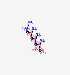 COc1ccc(NC(=O)[C@@H](CCCNC(=N)N)NC(=O)c2cc(NC(=O)[C@@H](CCCNC(=N)N)NC(=O)c3cc(NC(=O)[C@@H](CCCNC(=N)N)NC(=O)c4cc(NC(=O)[C@H](N)CCCNCN)ccc4OC)ccc3OC)ccc2OCC(=O)O)cc1C(N)=O